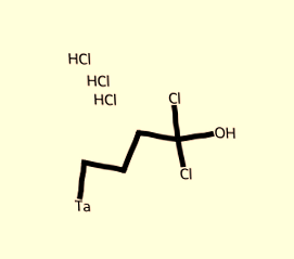 Cl.Cl.Cl.OC(Cl)(Cl)CC[CH2][Ta]